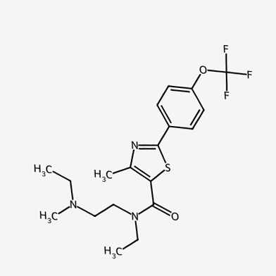 CCN(C)CCN(CC)C(=O)c1sc(-c2ccc(OC(F)(F)F)cc2)nc1C